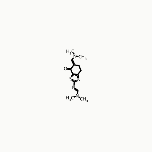 CN(C)/C=N/c1nc2c(s1)C(=O)/C(=C/N(C)C)CC2